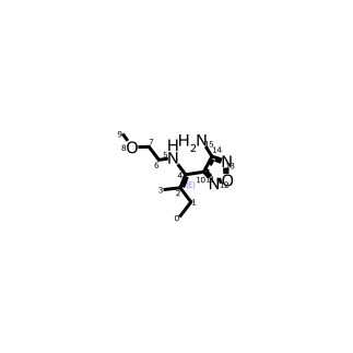 CC/C(C)=C(/NCCOC)c1nonc1N